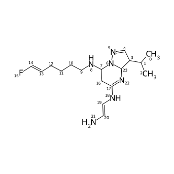 CC(C)C1C=NN2C(NCCCC/C=C/F)CC(N/C=C/N)=NC12